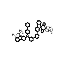 CC1(C)c2ccccc2-c2ccc(N(c3ccc(-c4ccccc4)cc3)c3cccc(-c4cccc(-c5ccc6c(c5)C5(c7ccccc7-6)c6ccccc6C(C)(C)c6ccccc65)c4)c3)cc21